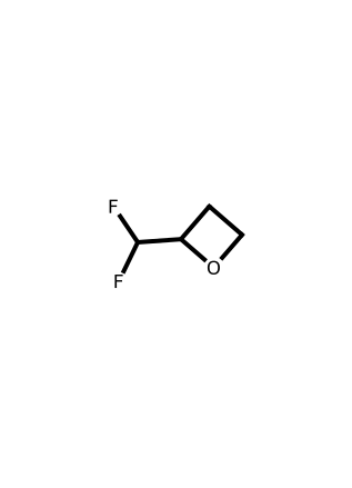 FC(F)C1CCO1